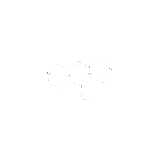 Nc1c2ccc[c]c2cc2ccccc12